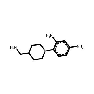 NCC1CCN(c2ccc(N)cc2N)CC1